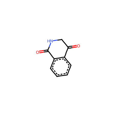 O=C1CNC(=O)c2ccccc21